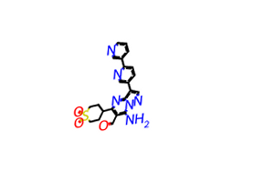 Nc1c(C=O)c(C2CCS(=O)(=O)CC2)nc2c(-c3ccc(-c4cccnc4)nc3)cnn12